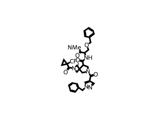 CNC(=O)C(COCc1ccccc1)NC(=O)C1CN(C(=O)c2cnn(Cc3ccccc3)c2)CC12CN(C(=O)C1(C(F)(F)F)CC1)C2